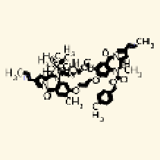 C=COCC(=O)N1c2cc(OCCCOc3cc4c(cc3OC)C(=O)N3C=C(/C=C/C)C[C@H]3[C@H](C)N4C(=O)OCc3ccc(C)cc3)c(C)cc2C(=O)N2C=C(/C=C/C)C[C@H]2[C@@H]1O[Si](C)(C)C(C)(C)C